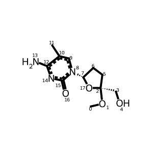 CO[C@]1(CO)CC[C@@H](n2cc(C)c(N)nc2=O)O1